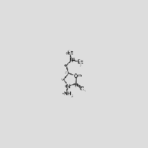 CCN(CC)CC1CN(N)C(=O)O1